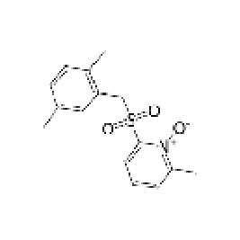 Cc1ccc(C)c(CS(=O)(=O)c2cccc(C)[n+]2[O-])c1